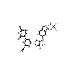 N#Cc1nc(-c2c[nH]c(=O)[nH]c2=O)cc(N2CC(Oc3cc4c(cn3)cnn4CC(F)(F)F)C(F)(F)C2)n1